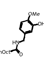 CCCCCCCCC(=O)NCc1ccc(OC)c(O)c1